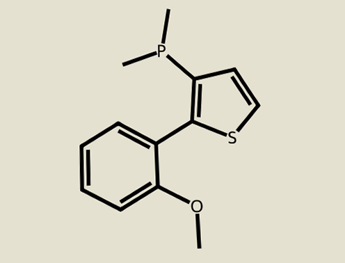 COc1ccccc1-c1sccc1P(C)C